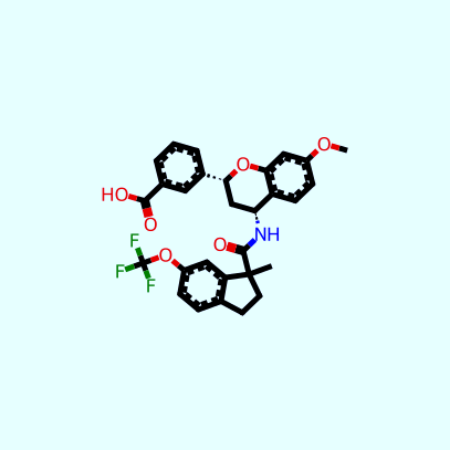 COc1ccc2c(c1)O[C@@H](c1cccc(C(=O)O)c1)C[C@H]2NC(=O)C1(C)CCc2ccc(OC(F)(F)F)cc21